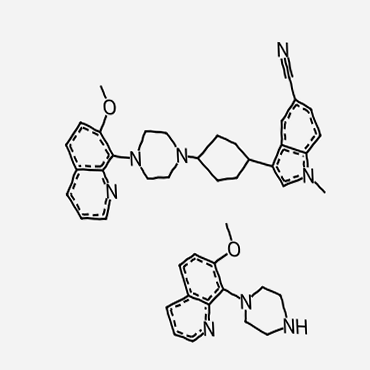 COc1ccc2cccnc2c1N1CCN(C2CCC(c3cn(C)c4ccc(C#N)cc34)CC2)CC1.COc1ccc2cccnc2c1N1CCNCC1